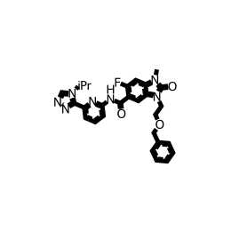 CC(C)n1cnnc1-c1cccc(NC(=O)c2cc3c(cc2F)n(C)c(=O)n3CCOCc2ccccc2)n1